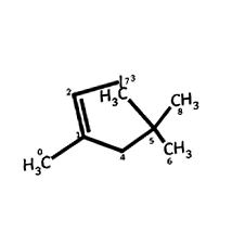 CC(=CI)CC(C)(C)C